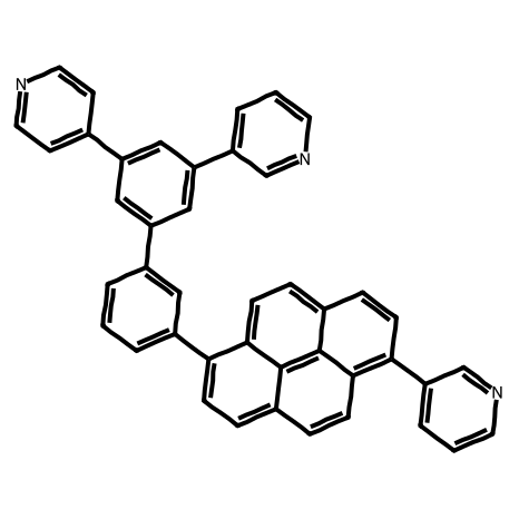 c1cncc(-c2cc(-c3ccncc3)cc(-c3cccc(-c4ccc5ccc6c(-c7cccnc7)ccc7ccc4c5c76)c3)c2)c1